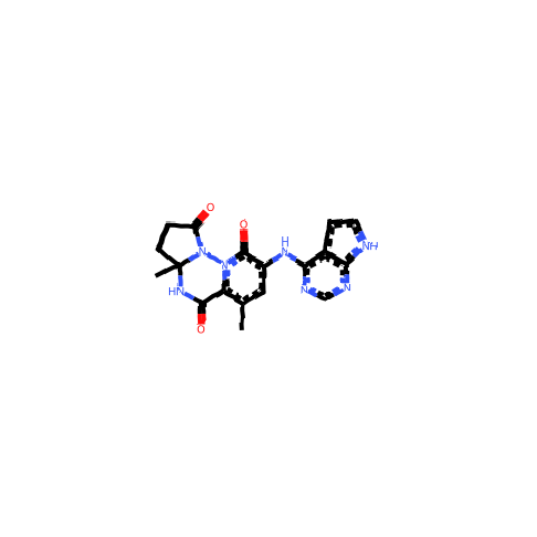 Cc1cc(Nc2ncnc3[nH]ccc23)c(=O)n2c1C(=O)NC1(C)CCC(=O)N21